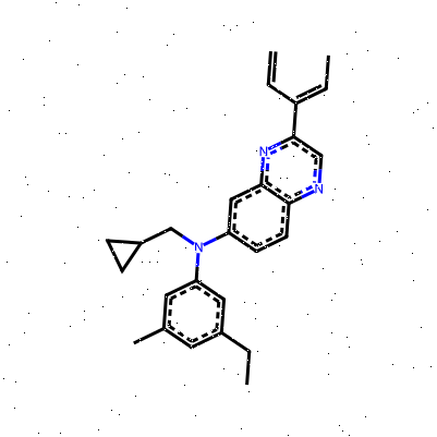 C=C/C(=C\C)c1cnc2ccc(N(CC3CC3)c3cc(C)cc(CC)c3)cc2n1